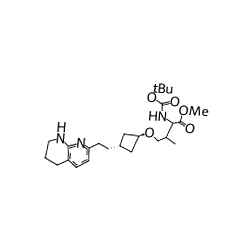 COC(=O)C(NC(=O)OC(C)(C)C)C(C)CO[C@H]1C[C@H](CCc2ccc3c(n2)NCCC3)C1